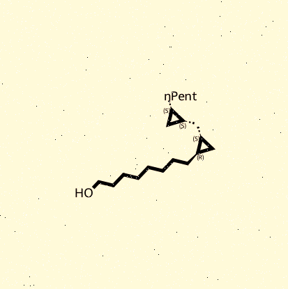 CCCCC[C@H]1C[C@H]1C[C@@H]1C[C@H]1CCCCCCCCO